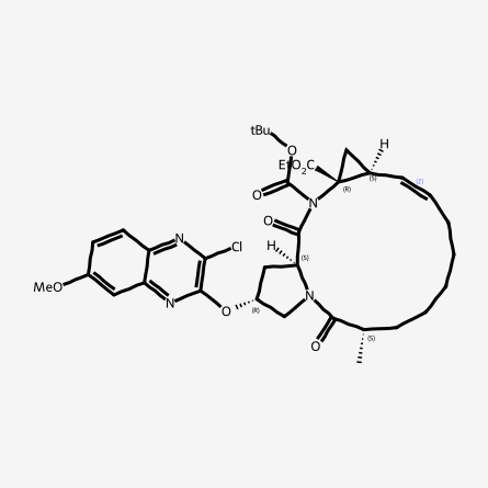 CCOC(=O)[C@@]12C[C@H]1/C=C\CCCCC[C@H](C)C(=O)N1C[C@H](Oc3nc4cc(OC)ccc4nc3Cl)C[C@H]1C(=O)N2C(=O)OC(C)(C)C